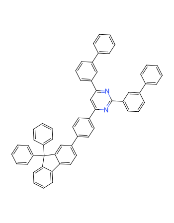 c1ccc(-c2cccc(-c3cc(-c4ccc(-c5ccc6c(c5)C(c5ccccc5)(c5ccccc5)c5ccccc5-6)cc4)nc(-c4cccc(-c5ccccc5)c4)n3)c2)cc1